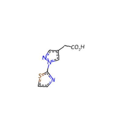 O=C(O)Cc1cnn(-c2nccs2)c1